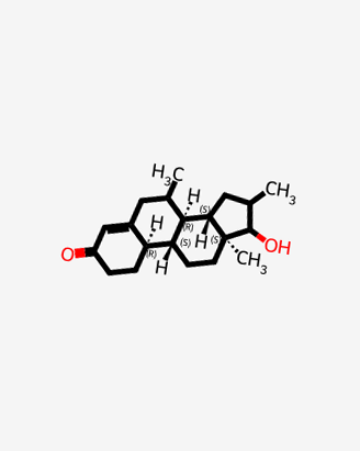 CC1C[C@H]2[C@@H]3C(C)CC4=CC(=O)CC[C@@H]4[C@H]3CC[C@]2(C)C1O